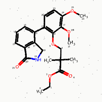 CCOC(=O)C(C)(C)COc1c(-c2cccc3c2CNC3=O)ccc(OC)c1OC